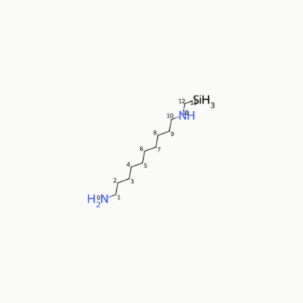 NCCCCCCCCCCNC[SiH3]